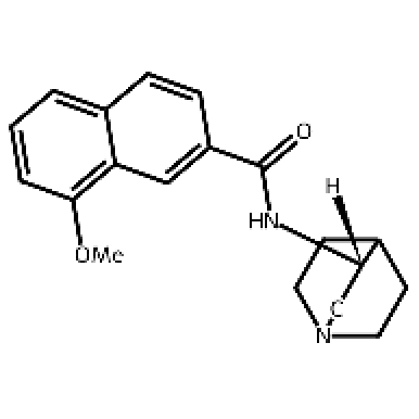 COc1cccc2ccc(C(=O)N[C@H]3CN4CCC3CC4)cc12